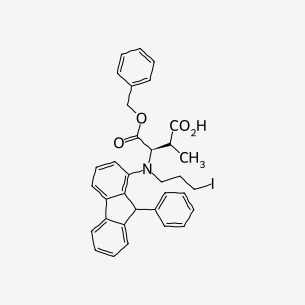 CC(C(=O)O)[C@H](C(=O)OCc1ccccc1)N(CCCI)c1cccc2c1C(c1ccccc1)c1ccccc1-2